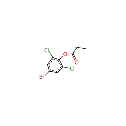 C[CH]C(=O)Oc1c(Cl)cc(Br)cc1Cl